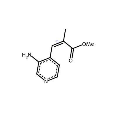 COC(=O)/C(C)=C\c1ccncc1N